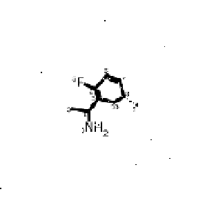 CC(N)C1=C(F)C=C[C@H](C)C1